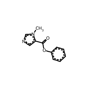 Cn1cncc1C(=O)Oc1ccccc1